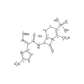 CO/N=C(\C(=O)NC1C(=O)N2C(C(=O)O)=C(P(=O)(O)O)CS[C@H]12)c1csc(N)n1